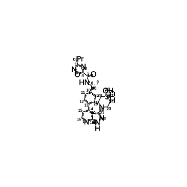 CC(C)c1noc(C(=O)N[C@H](C)c2ccc(-c3ccnc4[nH]nc(N5CCS(O)(O)CC5)c34)cc2)n1